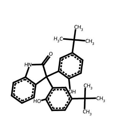 CC(C)(C)c1ccc(O)c(C2(c3cc(C(C)(C)C)ccc3O)C(=O)Nc3ccccc32)c1